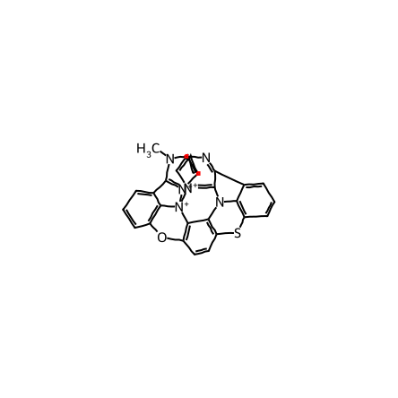 Cn1c2[n+](c3ccccc31)[N+]13c4c(cccc4-2)Oc2ccc4c(c21)-n1c2c(cccc2c2ncc[n+]3c21)S4